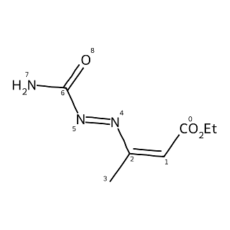 CCOC(=O)/C=C(/C)N=NC(N)=O